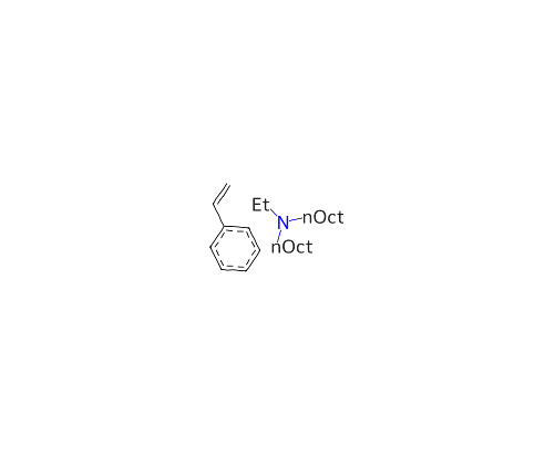 C=Cc1ccccc1.CCCCCCCCN(CC)CCCCCCCC